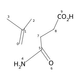 C=C(C)C.NC(=O)CCC(=O)O